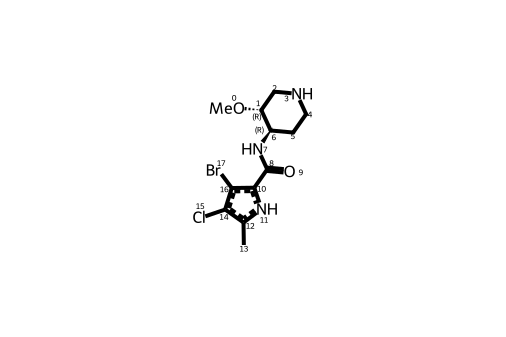 CO[C@@H]1CNCC[C@H]1NC(=O)c1[nH]c(C)c(Cl)c1Br